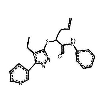 C=CCC(Sc1nnc(-c2cccnc2)n1CC)C(=O)Nc1ccccc1